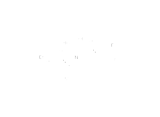 CCOCCN1C(=O)C2=C(O)C(O)C(C(=O)NCc3ccc(F)cc3F)=CN2CC12CCOCC2